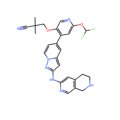 CC(C)(C#N)COc1cnc(OC(F)F)cc1-c1ccn2nc(Nc3cc4c(cn3)CNCC4)cc2c1